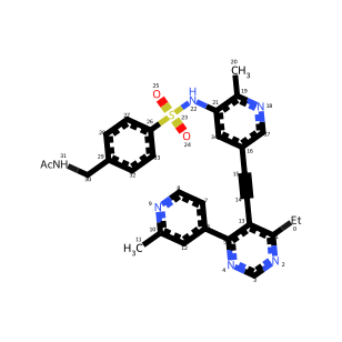 CCc1ncnc(-c2ccnc(C)c2)c1C#Cc1cnc(C)c(NS(=O)(=O)c2ccc(CNC(C)=O)cc2)c1